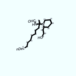 CCCCCCCCCCCCCCCCCC(C)(NC=O)N1CCCCC1CCO